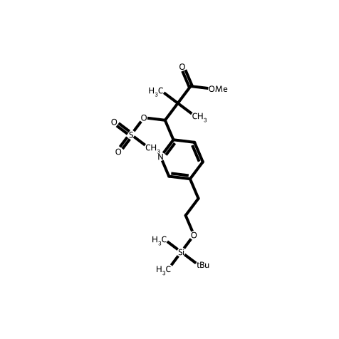 COC(=O)C(C)(C)C(OS(C)(=O)=O)c1ccc(CCO[Si](C)(C)C(C)(C)C)cn1